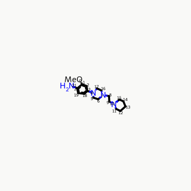 COc1cc(N2CCN(CCN3CCCCC3)CC2)ccc1N